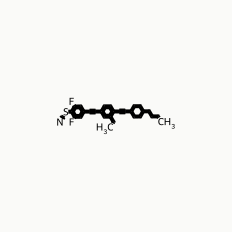 CCCCC1CCC(C#Cc2ccc(C#Cc3cc(F)c(SC#N)c(F)c3)cc2CC)CC1